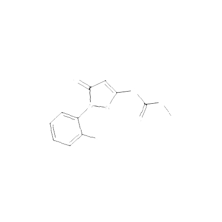 COC(=O)Oc1cc(=O)n(-c2ccccc2Cl)[nH]1